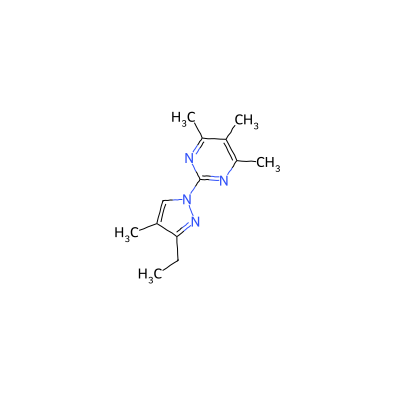 CCc1nn(-c2nc(C)c(C)c(C)n2)cc1C